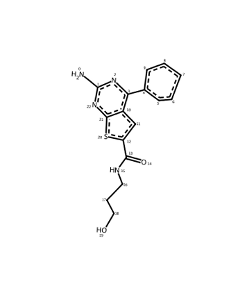 Nc1nc(-c2ccccc2)c2cc(C(=O)NCCCO)sc2n1